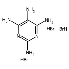 Br.Br.Br.Nc1nc(N)c(N)c(N)n1